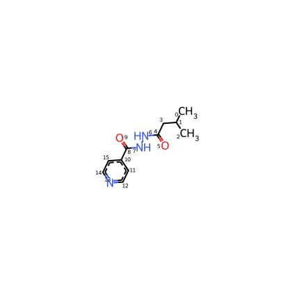 CC(C)CC(=O)NNC(=O)c1ccncc1